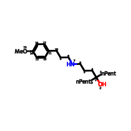 CCCCCC(O)(CCCCC)CCCNCCCc1ccc(OC)cc1